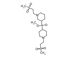 COC([O])(C1CCN(CCS(C)(=O)=O)CC1)C1CCCN(CCS(C)(=O)=O)C1